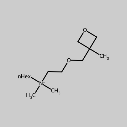 CCCCCC[N+](C)(C)CCOCC1(C)COC1